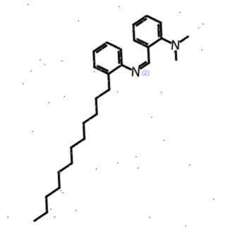 CCCCCCCCCCCCc1ccccc1/N=C\c1ccccc1N(C)C